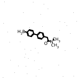 Bc1ccc(-c2ccc(CC(=O)N(C)C)cc2)cc1